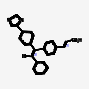 CC/C(=C(/c1ccc(/C=C/C(=O)O)cc1)c1ccc(-c2cscn2)cc1)c1ccccc1